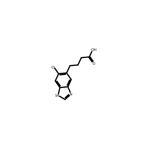 O=C(O)CCCc1cc2nc[se]c2cc1Cl